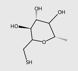 C[C@@H]1OC(CS)[C@@H](O)[C@H](O)C1O